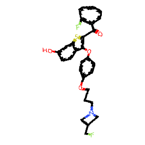 O=C(c1ccccc1F)c1sc2cc(O)ccc2c1Oc1ccc(OCCCN2CC(CF)C2)cc1